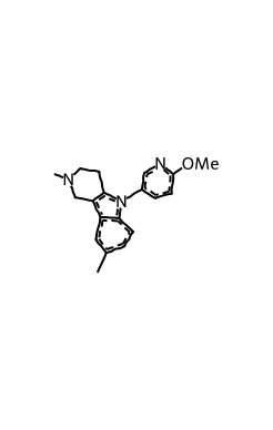 COc1ccc(-n2c3c(c4cc(C)ccc42)CN(C)CC3)cn1